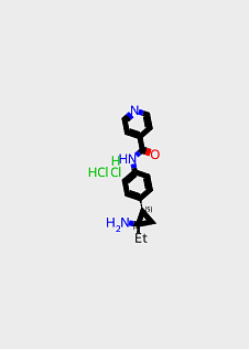 CC[C@]1(N)C[C@H]1c1ccc(NC(=O)c2ccncc2)cc1.Cl.Cl